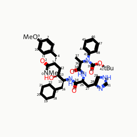 CNC(=O)[C@H](Cc1ccc(OC)cc1)C[C@H](O)[C@H](CC1CCCCC1)NC(=O)C(Cc1c[nH]cn1)NC(=O)C(C)N(C(=O)OC(C)(C)C)c1ccccc1